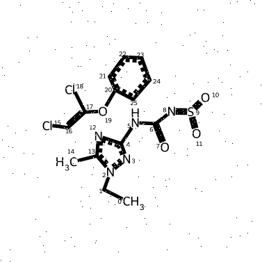 CCn1nc(NC(=O)N=S(=O)=O)nc1C.ClC=C(Cl)Oc1ccccc1